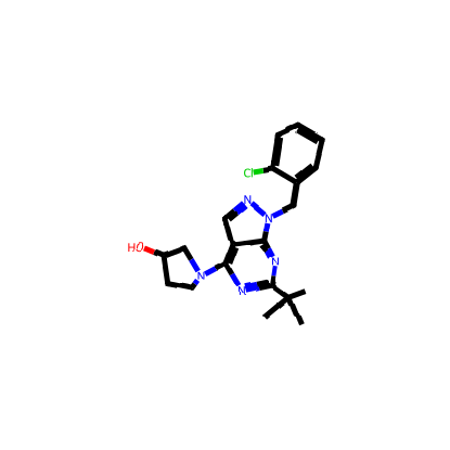 CC(C)(C)c1nc(N2CCC(O)C2)c2cnn(Cc3ccccc3Cl)c2n1